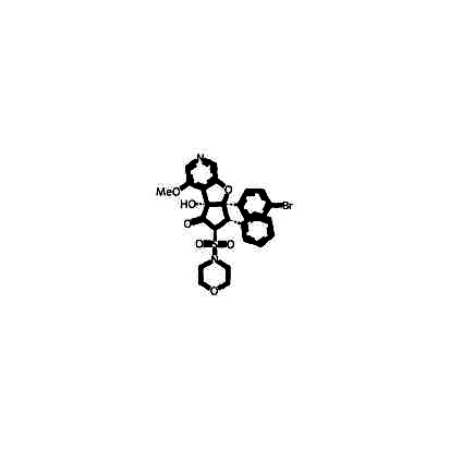 COc1cncc2c1[C@]1(O)C(=O)[C@H](S(=O)(=O)N3CCOCC3)[C@@H](c3ccccc3)[C@]1(c1ccc(Br)cc1)O2